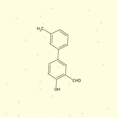 Cc1cccc(-c2ccc(O)c(C=O)c2)c1